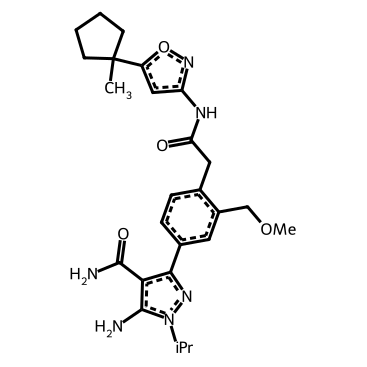 COCc1cc(-c2nn(C(C)C)c(N)c2C(N)=O)ccc1CC(=O)Nc1cc(C2(C)CCCC2)on1